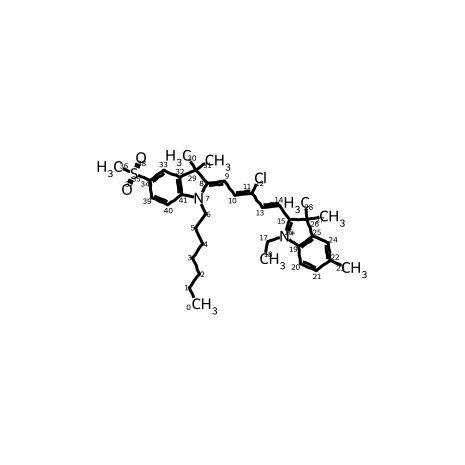 CCCCCCCN1C(=CC=C(Cl)C=CC2=[N+](CC)c3ccc(C)cc3C2(C)C)C(C)(C)c2cc(S(C)(=O)=O)ccc21